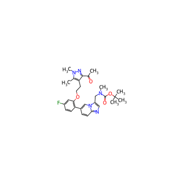 CC(=O)c1nn(C)c(C)c1CCOc1cc(F)ccc1-c1ccc2ncc(CN(C)C(=O)OC(C)(C)C)n2c1